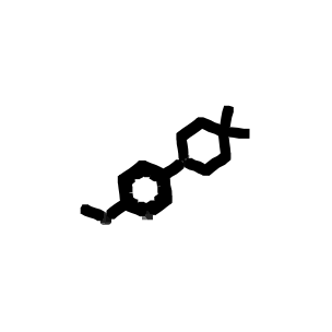 COc1ccc(N2CCC(C)(C)CC2)cn1